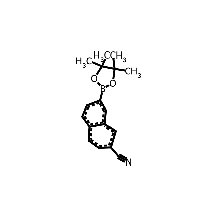 CC1(C)OB(c2ccc3ccc(C#N)cc3c2)OC1(C)C